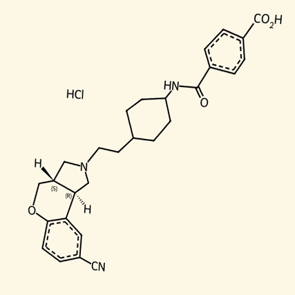 Cl.N#Cc1ccc2c(c1)[C@@H]1CN(CCC3CCC(NC(=O)c4ccc(C(=O)O)cc4)CC3)C[C@H]1CO2